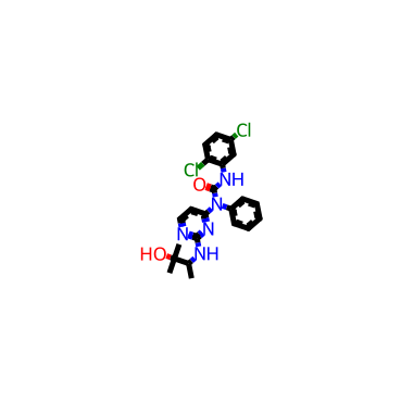 CC(Nc1nccc(N(C(=O)Nc2cc(Cl)ccc2Cl)c2ccccc2)n1)C(C)(C)O